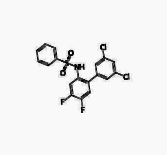 O=S(=O)(Nc1cc(F)c(F)cc1-c1cc(Cl)cc(Cl)c1)c1ccccc1